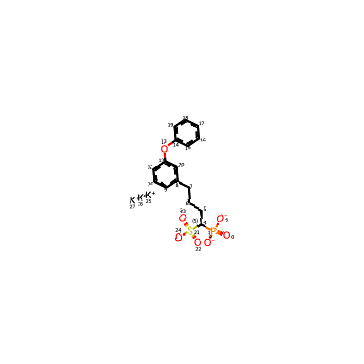 O=P([O-])([O-])[C@H](CCCc1cccc(Oc2ccccc2)c1)S(=O)(=O)[O-].[K+].[K+].[K+]